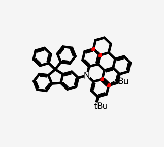 CC(C)(C)c1cc(N(c2ccc3c(c2)C(c2ccccc2)(c2ccccc2)c2ccccc2-3)c2ccccc2-c2cccc3cccc(C4CCCCC4)c23)cc(C(C)(C)C)c1